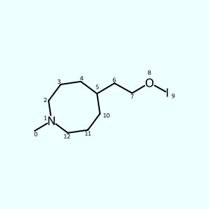 CN1CCCC(CCOI)CCC1